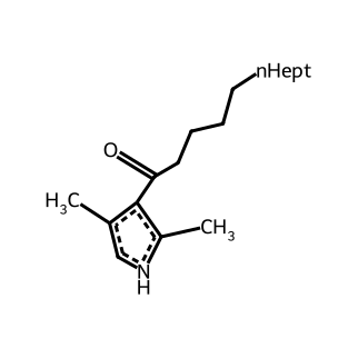 CCCCCCCCCCCC(=O)c1c(C)c[nH]c1C